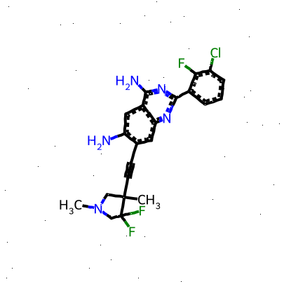 CN1CC(F)(F)C(C)(C#Cc2cc3nc(-c4cccc(Cl)c4F)nc(N)c3cc2N)C1